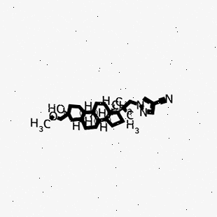 COC[C@@]1(O)CC[C@H]2[C@H](CC[C@@H]3[C@@H]2CC[C@]2(C)[C@@H](C(C)(C)Cn4cc(C#N)cn4)CC[C@@H]32)C1